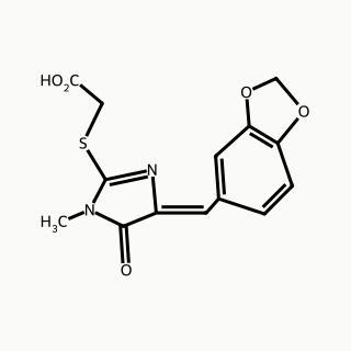 CN1C(=O)C(=Cc2ccc3c(c2)OCO3)N=C1SCC(=O)O